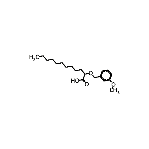 CCCCCCCCCCC(OCc1cccc(OC)c1)C(=O)O